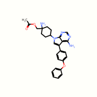 CC(=O)OCC1(N)CCC(n2cc(-c3ccc(Oc4ccccc4)cc3)c3c(N)ncnc32)CC1